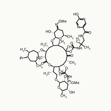 CON=C1C[C@@H](C)O[C@@H](O[C@@H]2[C@@H](C)[C@H](O[C@H]3C[C@H](C)N(C(C)C)C[C@H](C)O3)[C@@H](C)C(=O)O[C@H]([C@@H](C)CO[C@@H]3O[C@H](C)[C@@H](O)[C@@H](OC)[C@H]3OC)[C@H](C)[C@@H](OC(=O)CC(C)C)[C@@H](C)C(=O)[C@@](C)(OC(=O)NC(C)(C)CNC(=O)c3cnc(O)cn3)C[C@@H]2C)[C@@H]1O